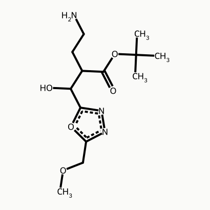 COCc1nnc(C(O)C(CCN)C(=O)OC(C)(C)C)o1